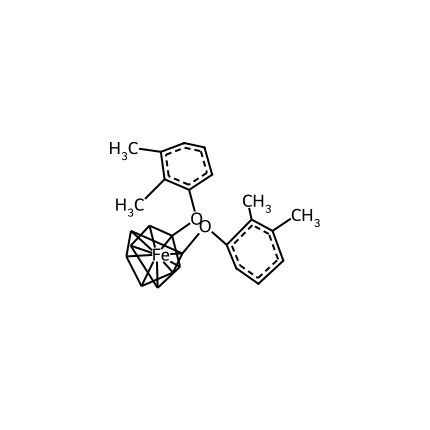 Cc1cccc(O[C]23[CH]4[CH]5[CH]6[CH]2[Fe]56432789[CH]3[CH]2[CH]7[C]8(Oc2cccc(C)c2C)[CH]39)c1C